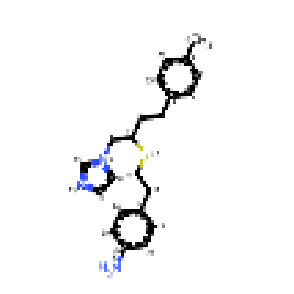 Cc1ccc(CCC(Cn2ccnc2)SCCc2ccc(N)cc2)cc1